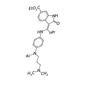 CCCC(Nc1ccc(N(CCCN(C)C)C(C)=O)cc1)=C1C(=O)Nc2cc(C(=O)OCC)ccc21